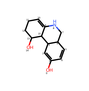 OC1=CC2C(C=C1)CNC1=CCCC(O)C12